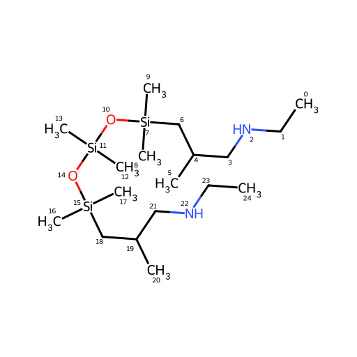 CCNCC(C)C[Si](C)(C)O[Si](C)(C)O[Si](C)(C)CC(C)CNCC